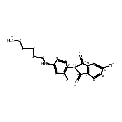 Cc1cc(NCCCCCN)ccc1N1C(=O)c2ccc(Cl)cc2C1=O